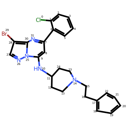 Clc1ccccc1-c1cc(NC2CCN(CCc3ccccc3)CC2)n2ncc(Br)c2n1